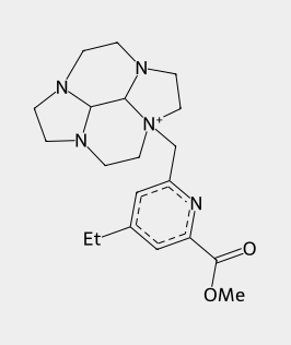 CCc1cc(C[N+]23CCN4CCN5CCN(CC2)C3C54)nc(C(=O)OC)c1